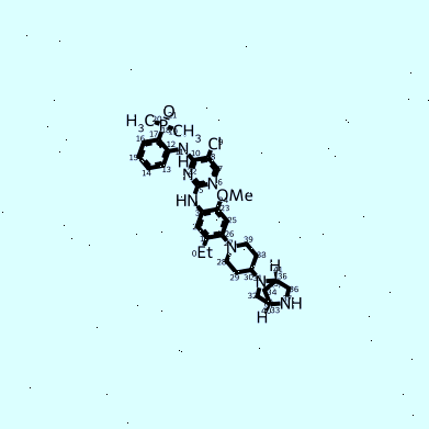 CCc1cc(Nc2ncc(Cl)c(Nc3ccccc3P(C)(C)=O)n2)c(OC)cc1N1CCC(N2C[C@@H]3C[C@H]2CN3)CC1